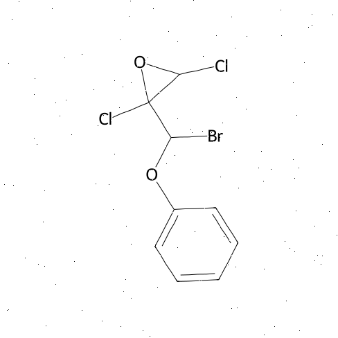 ClC1OC1(Cl)C(Br)Oc1ccccc1